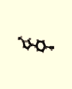 CC(C)c1ccn(-c2ccc(O)cc2)n1